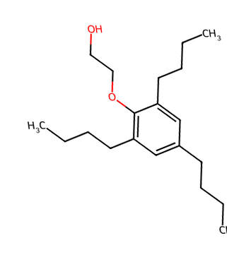 CCCCc1cc(CCCC)c(OCCO)c(CCCC)c1